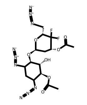 CC(=O)O[C@H]1C(N=[N+]=[N-])CC(N=[N+]=[N-])[C@@H](O[C@@H]2C[C@@H](OC(C)=O)C(F)(F)[C@@H](CN=[N+]=[N-])O2)[C@@H]1O